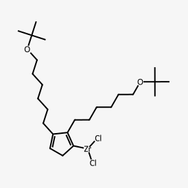 CC(C)(C)OCCCCCCC1=CC[C]([Zr]([Cl])[Cl])=C1CCCCCCOC(C)(C)C